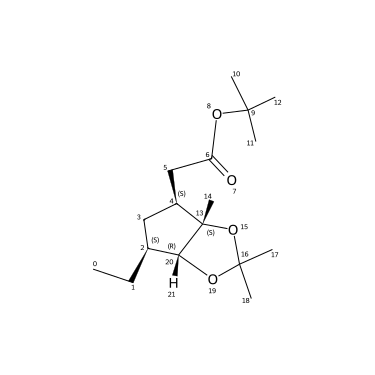 CC[C@H]1C[C@@H](CC(=O)OC(C)(C)C)[C@]2(C)OC(C)(C)O[C@H]12